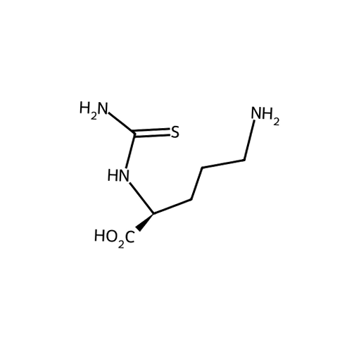 NCCC[C@H](NC(N)=S)C(=O)O